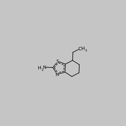 CCC1CCCc2nc(N)sc21